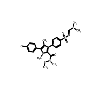 CON(C)C(=O)c1c(-c2ccc(S(=O)(=O)N=CN(C)C)cc2)c(C)c(-c2ccc(Cl)cc2)n1C